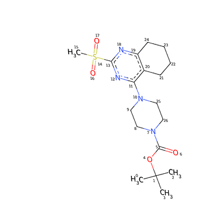 CC(C)(C)OC(=O)N1CCN(c2nc(S(C)(=O)=O)nc3c2CCCC3)CC1